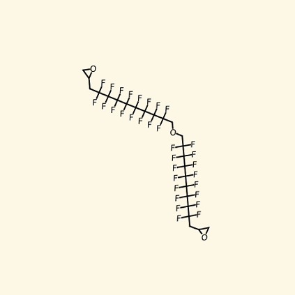 FC(F)(COCC(F)(F)C(F)(F)C(F)(F)C(F)(F)C(F)(F)C(F)(F)C(F)(F)C(F)(F)CC1CO1)C(F)(F)C(F)(F)C(F)(F)C(F)(F)C(F)(F)C(F)(F)C(F)(F)CC1CO1